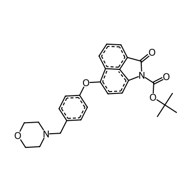 CC(C)(C)OC(=O)N1C(=O)c2cccc3c(Oc4ccc(CN5CCOCC5)cc4)ccc1c23